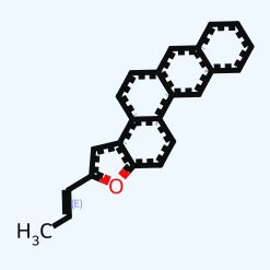 C/C=C/c1cc2c(ccc3c4cc5ccccc5cc4ccc23)o1